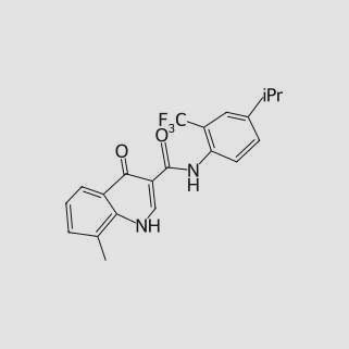 Cc1cccc2c(=O)c(C(=O)Nc3ccc(C(C)C)cc3C(F)(F)F)c[nH]c12